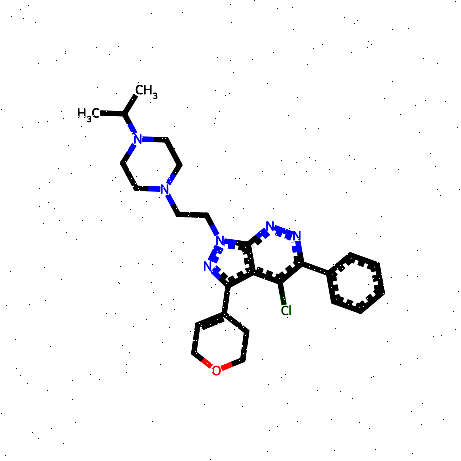 CC(C)N1CCN(CCn2nc(C3=CCOCC3)c3c(Cl)c(-c4ccccc4)nnc32)CC1